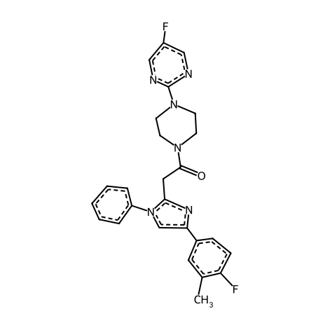 Cc1cc(-c2cn(-c3ccccc3)c(CC(=O)N3CCN(c4ncc(F)cn4)CC3)n2)ccc1F